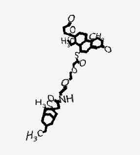 CCC1CC2CC(C1)CC(C)(CC(=O)NCCOCCOCC(=O)S[C@@H]1CC3=CC(=O)CCC3(C)C3CCC4(C)C(CC[C@@]45CCC(=O)O5)C31)C2